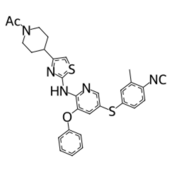 [C-]#[N+]c1ccc(Sc2cnc(Nc3nc(C4CCN(C(C)=O)CC4)cs3)c(Oc3ccccc3)c2)cc1C